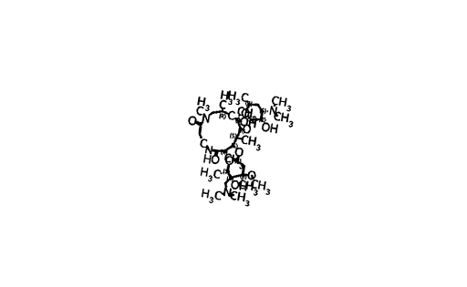 CO[C@]1(C)C[C@H](O[C@H]2[C@H](C)[C@@H](O[C@@H]3O[C@H](C)C[C@H](N(C)C)[C@H]3O)[C@](C)(O)C[C@@H](C)CN(C)C(=O)CCNC(=O)[C@@H]2C)O[C@@H](C)[C@]1(O)CN(C)C